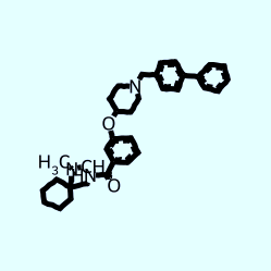 CN(C)C1(CNC(=O)c2cccc(OC3CCN(Cc4ccc(-c5ccccc5)cc4)CC3)c2)CCCCC1